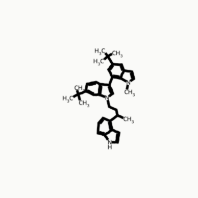 CC(CCn1cc(-c2cc(C(C)(C)C)cc3ccn(C)c23)c2ccc(C(C)(C)C)cc21)c1cccc2[nH]ccc12